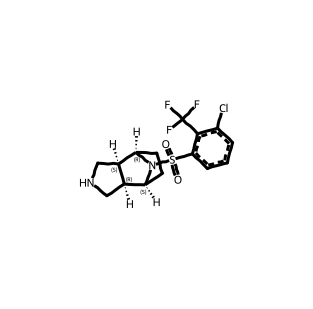 O=S(=O)(c1cccc(Cl)c1C(F)(F)F)N1[C@@H]2CC[C@H]1[C@H]1CNC[C@H]12